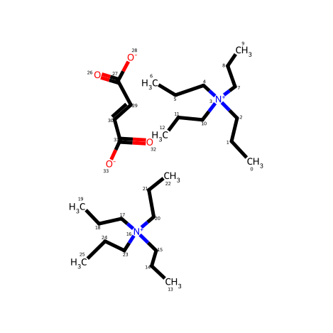 CCC[N+](CCC)(CCC)CCC.CCC[N+](CCC)(CCC)CCC.O=C([O-])/C=C/C(=O)[O-]